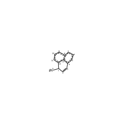 [CH2]C(C)C1C=Cc2cccc3cccc1c23